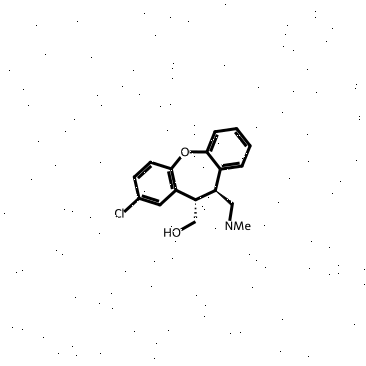 CNC[C@@H]1c2ccccc2Oc2ccc(Cl)cc2[C@H]1CO